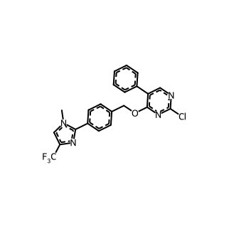 Cn1cc(C(F)(F)F)nc1-c1ccc(COc2nc(Cl)ncc2-c2ccccc2)cc1